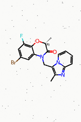 Cc1nc2ccccn2c1CN1C(=O)[C@@H](C)Oc2c(F)cc(Br)cc21